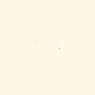 C/C=N\C(=N)C(=O)O